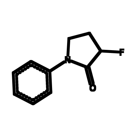 O=C1C(F)CCN1c1ccccc1